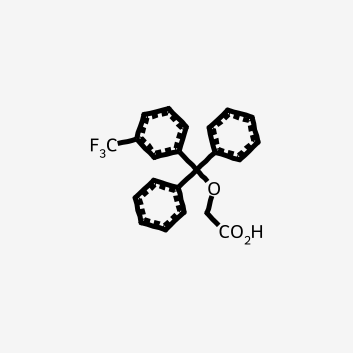 O=C(O)COC(c1ccccc1)(c1ccccc1)c1cccc(C(F)(F)F)c1